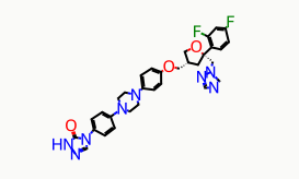 O=c1[nH]ncn1-c1ccc(N2CCN(c3ccc(OC[C@@H]4CO[C@@](Cn5cncn5)(c5ccc(F)cc5F)C4)cc3)CC2)cc1